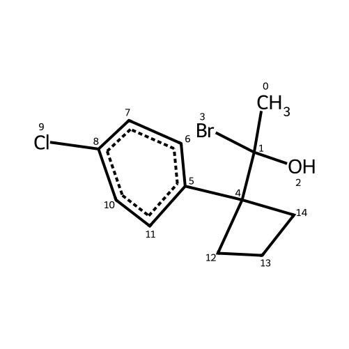 CC(O)(Br)C1(c2ccc(Cl)cc2)CCC1